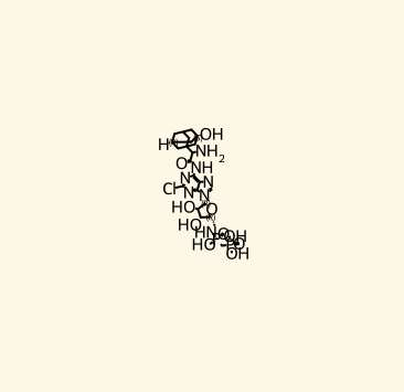 NC(C(=O)Nc1nc(Cl)nc2c1ncn2[C@@H]1O[C@H](CNP(=O)(O)CP(=O)(O)O)C(O)C1O)C12CC3C[C@H](C1)C[C@@](O)(C3)C2